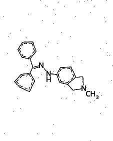 CN1Cc2ccc(NN=C(c3ccccc3)c3ccccc3)cc2C1